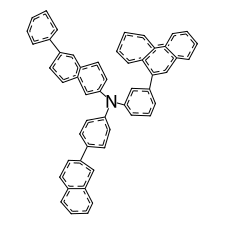 c1ccc(-c2ccc3cc(N(c4ccc(-c5ccc6ccccc6c5)cc4)c4cccc(-c5cc6ccccc6c6ccccc56)c4)ccc3c2)cc1